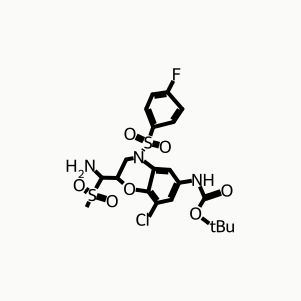 CC(C)(C)OC(=O)Nc1cc(Cl)c2c(c1)N(S(=O)(=O)c1ccc(F)cc1)CC(C(N)S(C)(=O)=O)O2